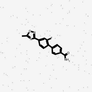 Cc1nc(-c2ccc(-c3ccc(C(N)=O)cc3)c(F)c2)no1